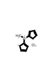 [CH3][Zr+]([C]1=CC=CC1)[C]1=CC=CC1.[Cl-]